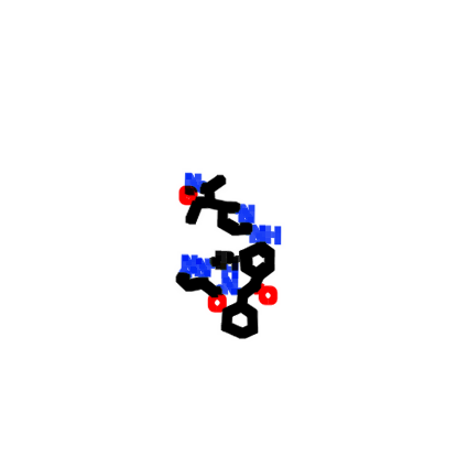 Cc1noc(C)c1-c1ccc(Nc2ccc(C(=O)[C@@H](NC(=O)c3ccnn3C(C)C)C3CCCCC3)cc2)nc1